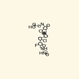 COc1cc(Cn2ncc3c(-c4cccc(-c5cc(F)c(CNC[C@@H]6CCC(=O)N6)c(OC)c5)c4Cl)cccc32)c(Cl)cc1CN(C)C12CC(C1)C(C(=O)O)C2